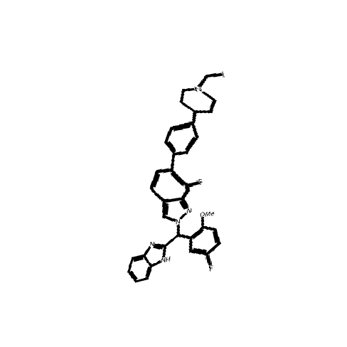 COc1ccc(F)cc1C(c1nc2ccccc2[nH]1)n1cc2ccc(-c3ccc(C4CCN(CI)CC4)cc3)c(F)c2n1